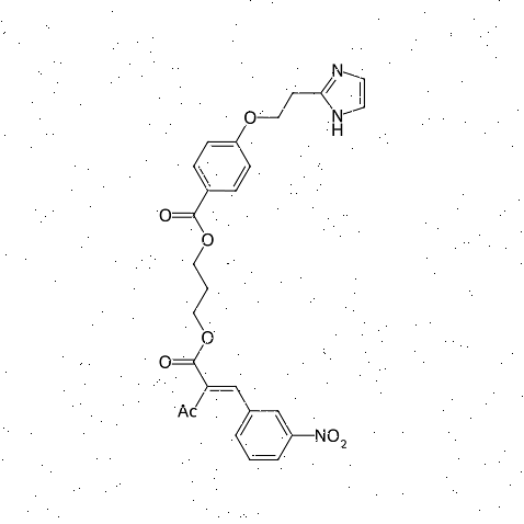 CC(=O)/C(=C\c1cccc([N+](=O)[O-])c1)C(=O)OCCCOC(=O)c1ccc(OCCc2ncc[nH]2)cc1